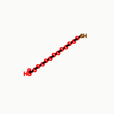 O=C(O)CCOCCOCCOCCOCCOCCOCCOCCOCCOCCOCCOCCOCCS